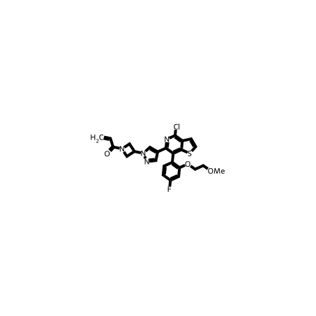 C=CC(=O)N1CC(n2cc(-c3nc(Cl)c4ccsc4c3-c3ccc(F)cc3OCCOC)cn2)C1